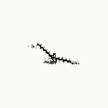 CCCCCCCC/C=C\CCCCCCCC(=O)C(N)(NCCCCCCCCCCCCCCCCCC)C(=O)OC.[NaH]